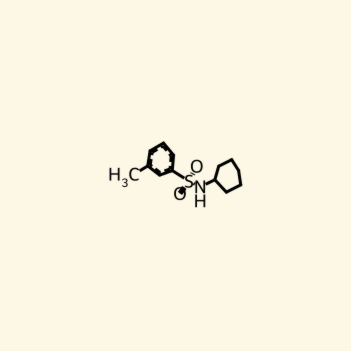 Cc1cccc(S(=O)(=O)NC2CCCCC2)c1